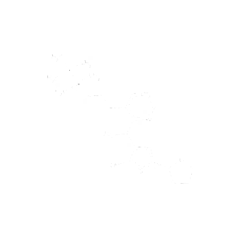 CC(C)(C)[Si](C)(C)OCCc1cccnc1C(O)c1cc(C2OCCO2)sc1Cl